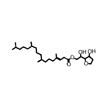 C/C(=C\CC(=O)OCC(O)C1OCCC1O)CCCC(C)CCCC(C)CCCC(C)C